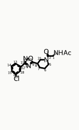 CC(=O)NCC(=O)N1CCCC(c2nc(-c3cccc(Cl)c3)no2)C1